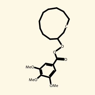 COc1cc(C(=O)OO[C]2CCCCCCCCCCC2)cc(OC)c1OC